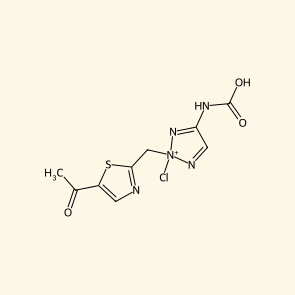 CC(=O)c1cnc(C[N+]2(Cl)N=CC(NC(=O)O)=N2)s1